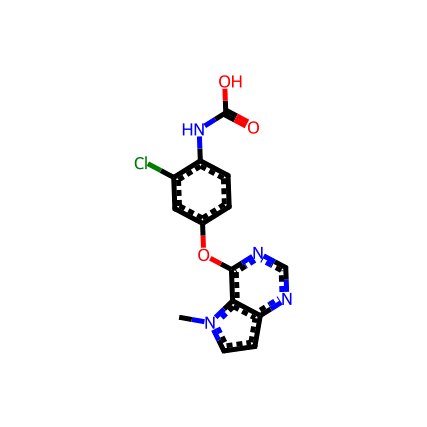 Cn1ccc2ncnc(Oc3ccc(NC(=O)O)c(Cl)c3)c21